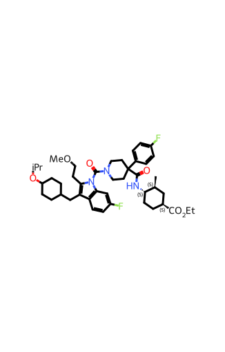 CCOC(=O)[C@H]1CC[C@H](NC(=O)C2(c3ccc(F)cc3)CCN(C(=O)n3c(CCOC)c(CC4CCC(OC(C)C)CC4)c4ccc(F)cc43)CC2)[C@@H](C)C1